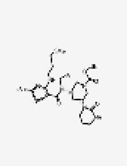 CSCCCNc1nc(C(C)(C)C)ncc1C(=O)N(CC(C)C)[C@H]1C[C@@H](N2CCCNC2=O)CN(C(=O)OC(C)(C)C)C1